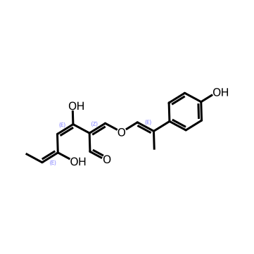 C\C=C(O)/C=C(O)\C(C=O)=C\O/C=C(\C)c1ccc(O)cc1